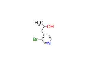 CC(O)Cc1ccncc1Br